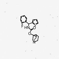 O=C(NC(c1cccs1)c1ccccc1F)OC1CN2CCC1CC2